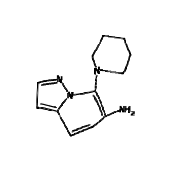 Nc1ccc2ccnn2c1N1CCCCC1